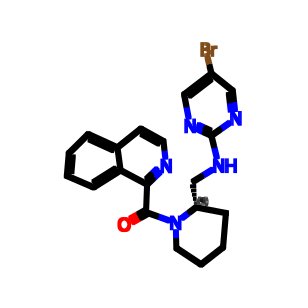 O=C(c1nccc2ccccc12)N1CCCC[C@H]1CNc1ncc(Br)cn1